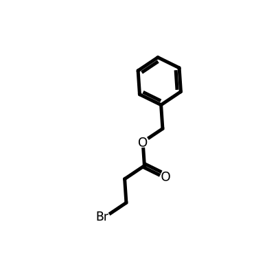 O=C(CCBr)OCc1ccccc1